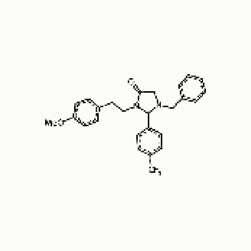 COc1ccc(CCN2C(=O)CN(Cc3ccccc3)C2c2ccc(C(F)(F)F)cc2)cc1